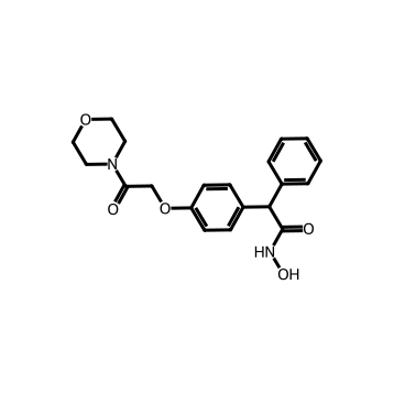 O=C(NO)C(c1ccccc1)c1ccc(OCC(=O)N2CCOCC2)cc1